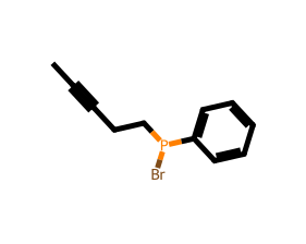 CC#CCCP(Br)c1ccccc1